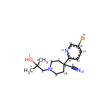 CC(C)(O)CN1CCC(C#N)(c2ccc(Br)cn2)CC1